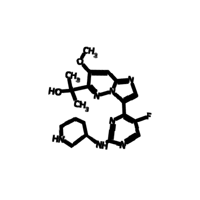 COc1cc2ncc(-c3nc(N[C@@H]4CCCNC4)ncc3F)n2nc1C(C)(C)O